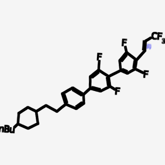 CCCCC1CCC(CCc2ccc(-c3cc(F)c(-c4cc(F)c(/C=C/C(F)(F)F)c(F)c4)c(F)c3)cc2)CC1